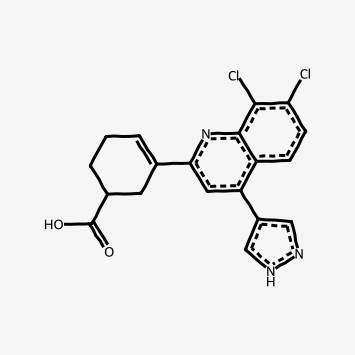 O=C(O)C1CCC=C(c2cc(-c3cn[nH]c3)c3ccc(Cl)c(Cl)c3n2)C1